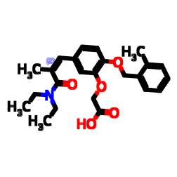 CCN(CC)C(=O)/C(C)=C\c1ccc(OCc2ccccc2C)c(OCC(=O)O)c1